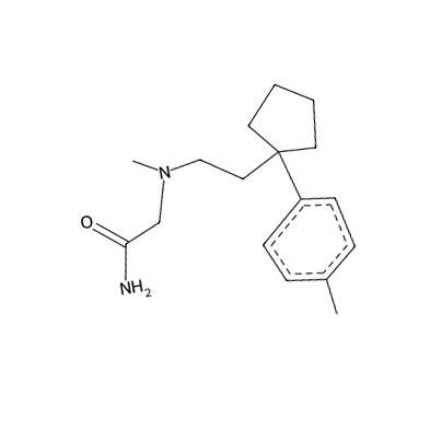 Cc1ccc(C2(CCN(C)CC(N)=O)CCCC2)cc1